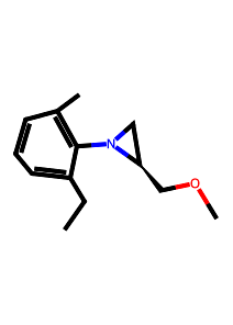 CCc1cccc(C)c1N1C[C@H]1COC